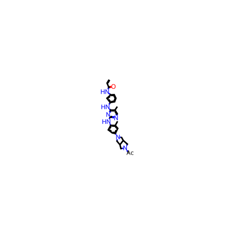 C=CC(=O)Nc1cccc(Nc2nc(Nc3ccc(N4CC5CN(C(C)=O)CC5C4)cc3C)ncc2C)c1